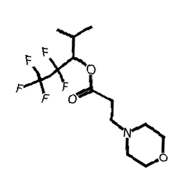 CC(C)C(OC(=O)CCN1CCOCC1)C(F)(F)C(F)(F)F